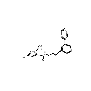 Cc1cc(C(=O)NCCCc2cccc(-c3ccncc3)c2)n(C)n1